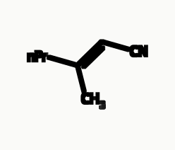 CCCC(C)=CC#N